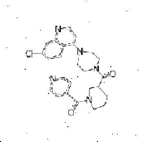 O=C(c1ccncc1)N1CCCC(C(=O)N2CCN(c3ccnc4cc(Cl)ccc34)CC2)C1